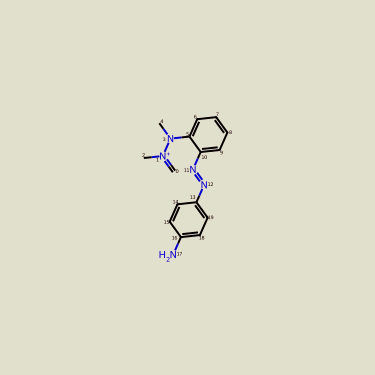 C=[N+](C)N(C)c1ccccc1N=Nc1ccc(N)cc1